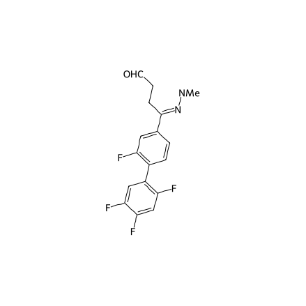 CN/N=C(\CCC=O)c1ccc(-c2cc(F)c(F)cc2F)c(F)c1